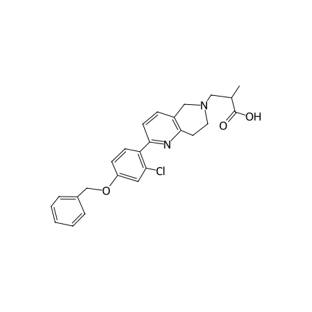 CC(CN1CCc2nc(-c3ccc(OCc4ccccc4)cc3Cl)ccc2C1)C(=O)O